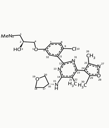 CNC[C@H](O)COc1ccc(Cl)c(-c2nc(N[C@@H]3CCOC3)c(C)c(-c3c(C)noc3C)n2)c1